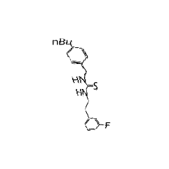 CCCCc1ccc(CNC(=S)NCCc2cccc(F)c2)cc1